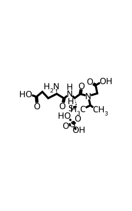 CC(C)N(CC(=O)O)C(=O)[C@H](CS)NC(=O)[C@@H](N)CCC(=O)O.O=S(=O)(O)O